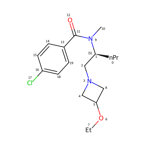 CCC[C@@H](CN1CC(OCC)C1)N(C)C(=O)c1ccc(Cl)cc1